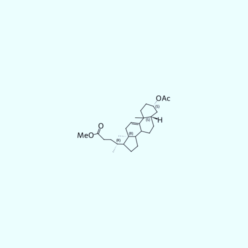 COC(=O)CC[C@@H](C)C1CCC2C3CC[C@H]4C[C@@H](OC(C)=O)CCC4(C)C3=CC[C@@]21C